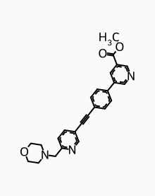 COC(=O)c1cncc(-c2ccc(C#Cc3ccc(CN4CCOCC4)nc3)cc2)c1